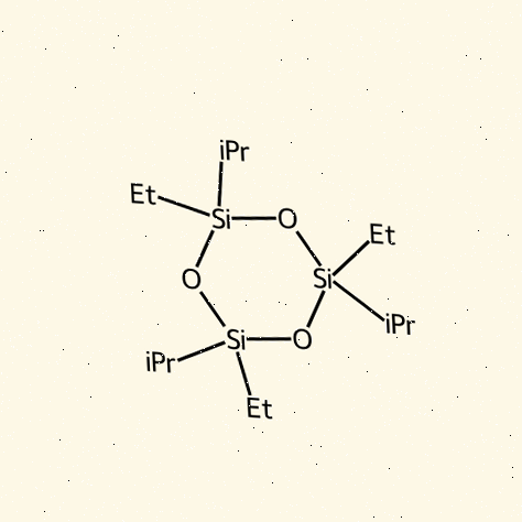 CC[Si]1(C(C)C)O[Si](CC)(C(C)C)O[Si](CC)(C(C)C)O1